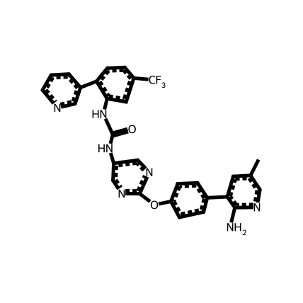 Cc1cnc(N)c(-c2ccc(Oc3ncc(NC(=O)Nc4cc(C(F)(F)F)ccc4-c4cccnc4)cn3)cc2)c1